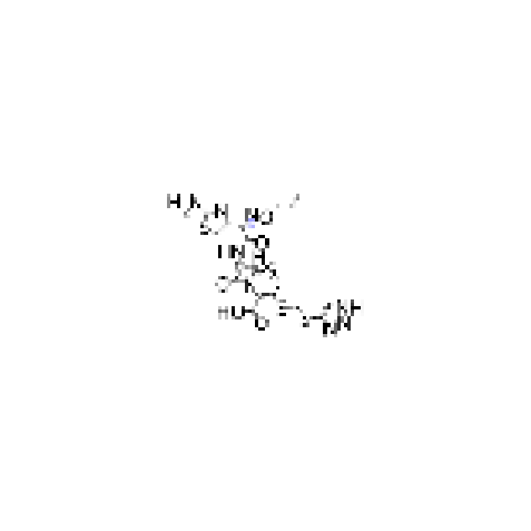 C=CCO/N=C(\C(=O)N[C@@H]1C(=O)N2C(C(=O)O)=C(SCSc3c[nH]nn3)CS[C@@H]12)c1csc(N)n1